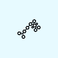 c1ccc(N(c2ccccc2)c2ccc(-c3ccc(-c4ccc5c(c4)C4(c6ccccc6-5)c5ccccc5C(c5ccccc5)(c5ccccc5)c5ccccc54)cc3)cc2)cc1